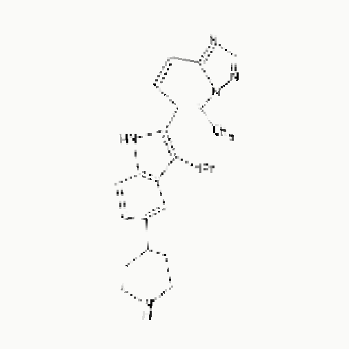 Cc1c(-c2[nH]c3ccc(C4CCNCC4)cc3c2C(C)C)ccc2ncnn12